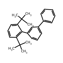 CC(C)(C)c1cccc(C(C)(C)C)c1-c1[c]ccc(-c2ccccc2)c1